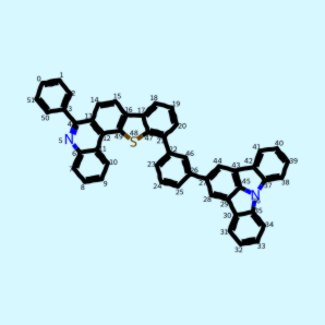 c1ccc(-c2nc3ccccc3c3c2ccc2c4cccc(-c5cccc(-c6cc7c8ccccc8n8c9ccccc9c(c6)c78)c5)c4sc23)cc1